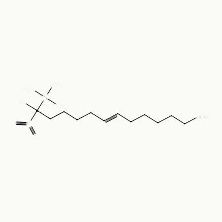 CCCCCCCCCCCCCCCC=CCCCCC(CC)(P(=O)=O)[N+](C)(C)C